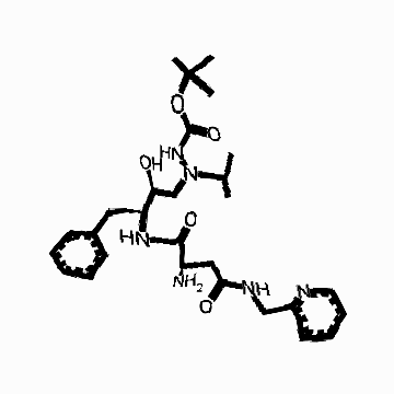 CC(C)N(C[C@H](O)[C@H](Cc1ccccc1)NC(=O)[C@@H](N)CC(=O)NCc1ccccn1)NC(=O)OC(C)(C)C